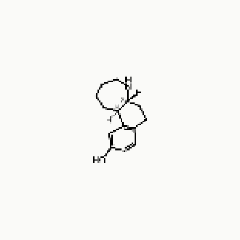 Oc1ccc2c(c1)[C@H]1CCCCN[C@@H]1CC2